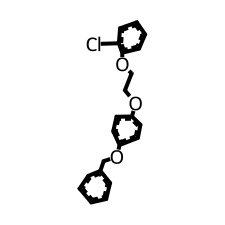 Clc1ccccc1OCCOc1ccc(OCc2ccccc2)cc1